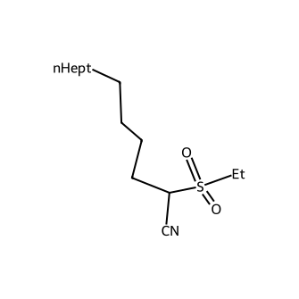 CCCCCCCCCCCC(C#N)S(=O)(=O)CC